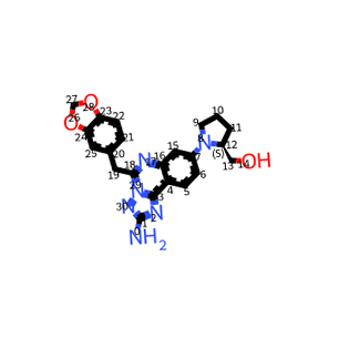 Nc1nc2c3ccc(N4CCC[C@H]4CO)cc3nc(Cc3ccc4c(c3)OCO4)n2n1